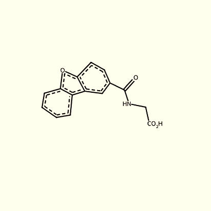 O=C(O)CNC(=O)c1ccc2oc3ccccc3c2c1